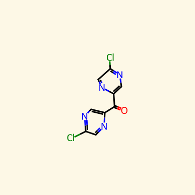 O=C(c1cnc(Cl)cn1)c1cnc(Cl)cn1